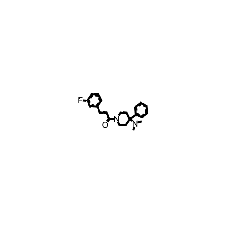 CN(C)C1(c2ccccc2)CCN(C(=O)CCc2cccc(F)c2)CC1